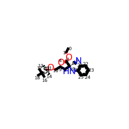 CCOC(=O)[C@](C#N)(CCCO[Si](C)(C)C(C)(C)C)Nc1ccccc1